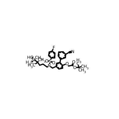 CC(C)(C)OC(=O)COc1ccc(CN(CCCC(C)(C)[Si](C)(C)O)S(=O)(=O)c2ccc(F)cc2)cc1-c1cccc(C#N)c1